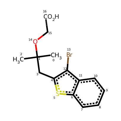 CC(C)(Cc1sc2ccccc2c1Br)OCC(=O)O